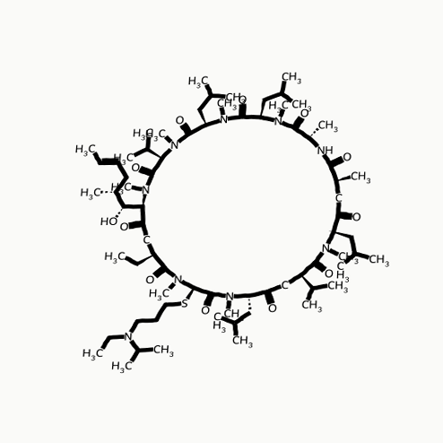 C/C=C/C[C@@H](C)[C@@H](O)[C@@H]1C(=O)C[C@H](CC)C(=O)N(C)[C@H](SCCCN(CC)C(C)C)C(=O)N(C)[C@@H](CC(C)C)C(=O)C[C@H](C(C)C)C(=O)N(C)[C@H](CC(C)C)C(=O)C[C@H](C)C(=O)N[C@@H](C)C(=O)N(C)[C@H](CC(C)C)C(=O)N(C)[C@H](CC(C)C)C(=O)N(C)[C@H](C(C)C)C(=O)N1C